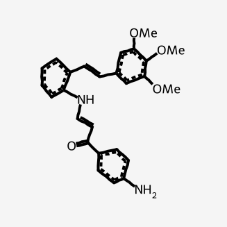 COc1cc(C=Cc2ccccc2NC=CC(=O)c2ccc(N)cc2)cc(OC)c1OC